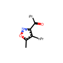 CCCc1c(C(=O)C(C)C)noc1C